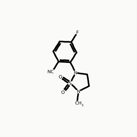 CN1CCN(c2cc(F)ccc2C#N)S1(=O)=O